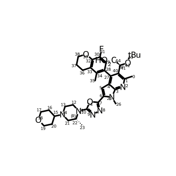 Cc1nc2c(cc(-c3nnc(N4CCN(C5CCOCC5)C[C@H]4C)o3)n2C)c(-c2cc(F)c3c(c2C)CCCO3)c1[C@H](OC(C)(C)C)C(=O)O